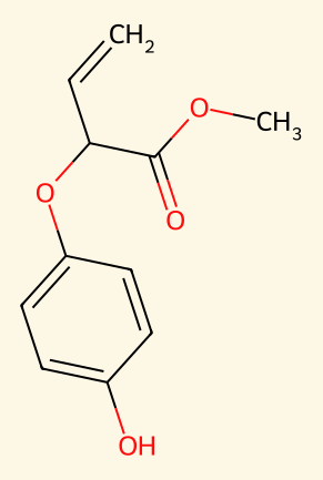 C=CC(Oc1ccc(O)cc1)C(=O)OC